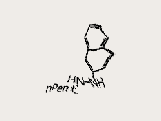 CCCCCNNc1ccc2ccccc2c1